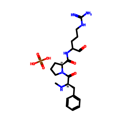 CN[C@H](Cc1ccccc1)C(=O)N1CCC[C@H]1C(=O)NC(C=O)CCCNC(=N)N.O=S(=O)(O)O